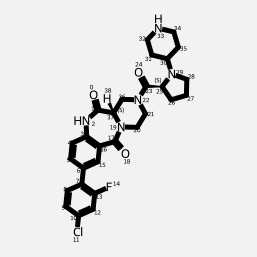 O=C1Nc2ccc(-c3ccc(Cl)cc3F)cc2C(=O)N2CCN(C(=O)[C@@H]3CCCN3C3CCNCC3)C[C@@H]12